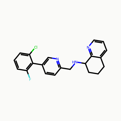 Fc1cccc(Cl)c1-c1ccc(CNC2CCCc3cccnc32)nc1